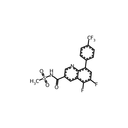 CS(=O)(=O)NC(=O)c1cnc2c(-c3ccc(C(F)(F)F)cc3)cc(F)c(F)c2c1